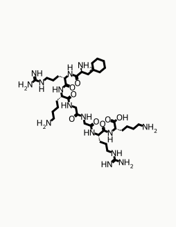 N=C(N)NCCC[C@H](NC(=O)CNC(=O)CNC(=O)[C@H](CCCCN)NC(=O)[C@H](CCCNC(=N)N)NC(=O)[C@@H](N)CC1CCCCC1)C(=O)N[C@@H](CCCCN)C(=O)O